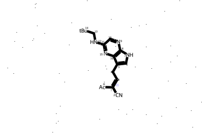 CC(=O)/C(C#N)=C\Cc1c[nH]c2ncc(NCC(C)(C)C)nc12